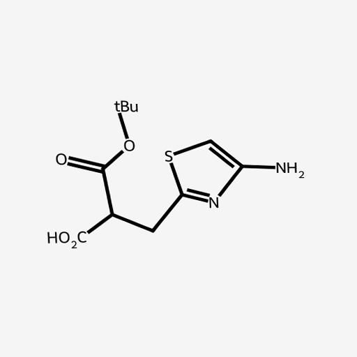 CC(C)(C)OC(=O)C(Cc1nc(N)cs1)C(=O)O